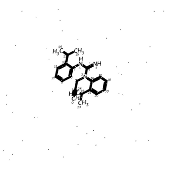 C#CCN(C(=N)Nc1ccccc1C(C)C)c1ccccc1C(C)C